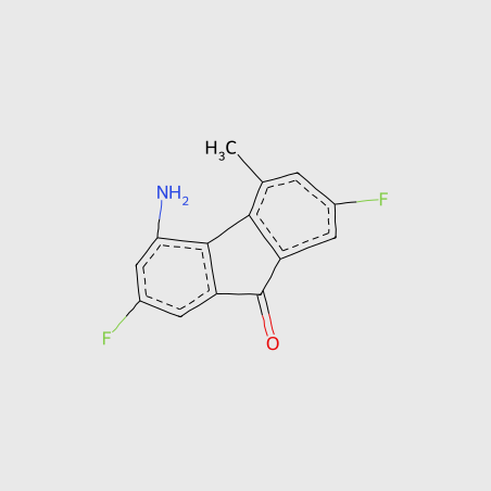 Cc1cc(F)cc2c1-c1c(N)cc(F)cc1C2=O